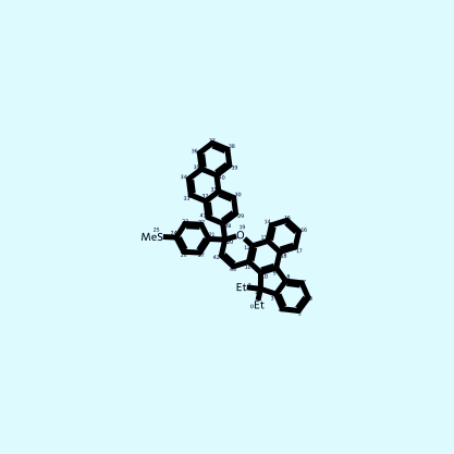 CCC1(CC)c2ccccc2-c2c1c1c(c3ccccc23)OC(c2ccc(SC)cc2)(c2ccc3c(ccc4ccccc43)c2)C=C1